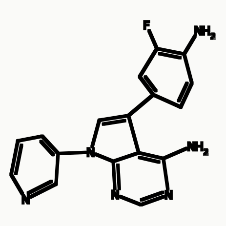 Nc1ccc(-c2cn(-c3cccnc3)c3ncnc(N)c23)cc1F